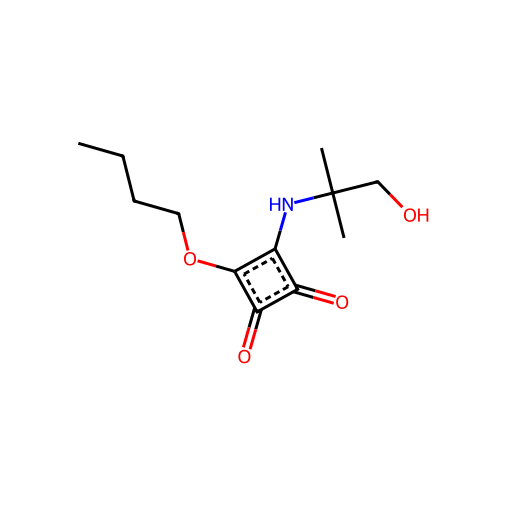 CCCCOc1c(NC(C)(C)CO)c(=O)c1=O